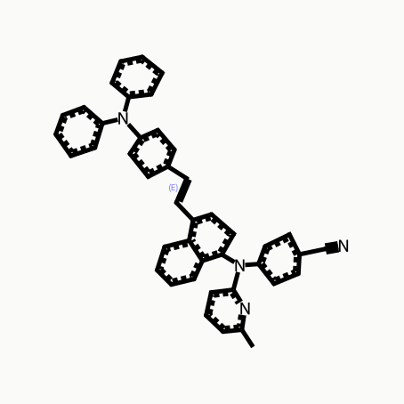 Cc1cccc(N(c2ccc(C#N)cc2)c2ccc(/C=C/c3ccc(N(c4ccccc4)c4ccccc4)cc3)c3ccccc23)n1